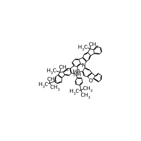 CC(C)(C)c1ccc(Nc2cc3c(cc2-c2ccc4c5cc6c(cc5n5c4c2Bc2cc4oc7ccccc7c4cc2-5)-c2ccccc2C6(C)C)C(C)(C)c2cc(C(C)(C)C)ccc2-3)cc1